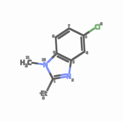 C[CH]c1nc2cc(Cl)ccc2n1C